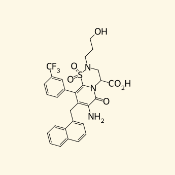 Nc1c(Cc2cccc3ccccc23)c(-c2cccc(C(F)(F)F)c2)c2n(c1=O)C(C(=O)O)CN(CCCO)S2(=O)=O